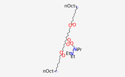 CCCCCCCC/C=C\CCCCCCCC(=O)OCCCCCCC(CCCCCCOC(=O)CCCCCCC/C=C\CCCCCCCC)OC(=O)OCCN(CCN(CC)CC)C(C)C